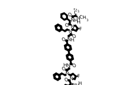 CN[C@@H](C)C(=O)N[C@H](C(=O)N1C[C@H](F)CC1N(CCc1ccccc1)C(=O)CNC(=O)c1ccc(-c2ccc(C(=O)NCC(=O)N(CCc3ccccc3)C3C[C@@H](F)CN3C(=O)[C@@H](NC(=O)[C@H](C)NC)C3CCCCC3)cc2)cc1)C1CCCCC1